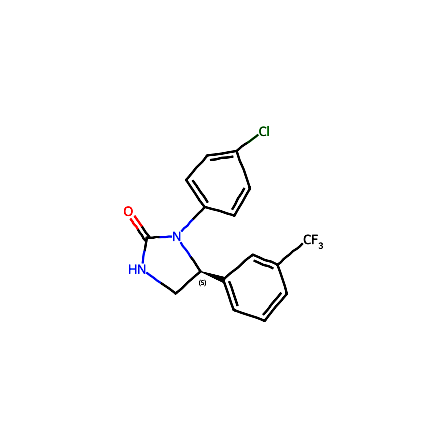 O=C1NC[C@H](c2cccc(C(F)(F)F)c2)N1c1ccc(Cl)cc1